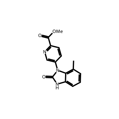 COC(=O)c1ccc(-n2c(=O)[nH]c3cccc(C)c32)cn1